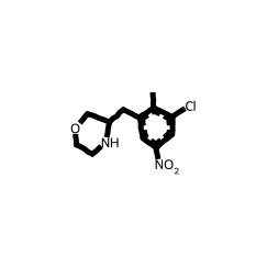 Cc1c(Cl)cc([N+](=O)[O-])cc1CC1COCCN1